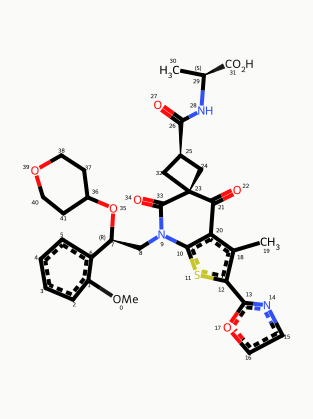 COc1ccccc1[C@H](CN1c2sc(-c3ncco3)c(C)c2C(=O)[C@]2(C[C@H](C(=O)N[C@@H](C)C(=O)O)C2)C1=O)OC1CCOCC1